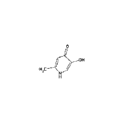 [CH2]c1cc(=O)c(O)c[nH]1